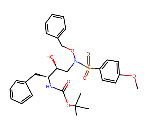 COc1ccc(S(=O)(=O)N(C[C@H](O)[C@H](Cc2ccccc2)NC(=O)OC(C)(C)C)OCc2ccccc2)cc1